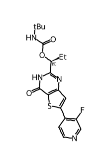 CC[C@H](OC(=O)NC(C)(C)C)c1nc2cc(-c3ccncc3F)sc2c(=O)[nH]1